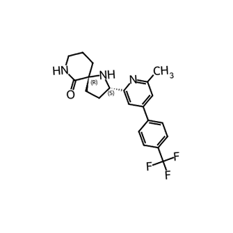 Cc1cc(-c2ccc(C(F)(F)F)cc2)cc([C@@H]2CC[C@@]3(CCCNC3=O)N2)n1